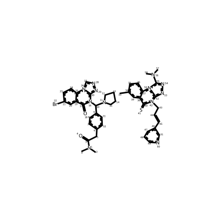 CN(C)C(=O)Cc1ccc(C(N2CCCC2)n2c(=O)c3cc(Br)ccc3n3cnnc23)cc1.Cc1ccc2c(c1)c(=S)n(CC=Cc1cccnc1)c1nnc(N(C)C)n21